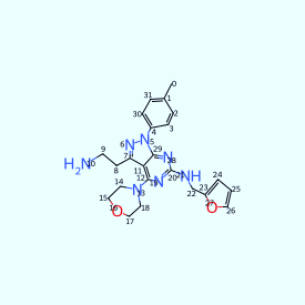 Cc1ccc(-n2nc(CCN)c3c(N4CCOCC4)nc(NCc4ccco4)nc32)cc1